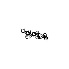 COC(=O)CON(C)C(=O)C(C)Oc1ccc(Oc2ncc(Cl)cc2Cl)cc1